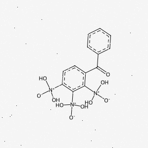 O=C(c1ccccc1)c1ccc([N+]([O-])(O)O)c([N+]([O-])(O)O)c1[N+]([O-])(O)O